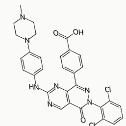 CN1CCN(c2ccc(Nc3ncc4c(=O)n(-c5c(Cl)cccc5Cl)nc(-c5ccc(C(=O)O)cc5)c4n3)cc2)CC1